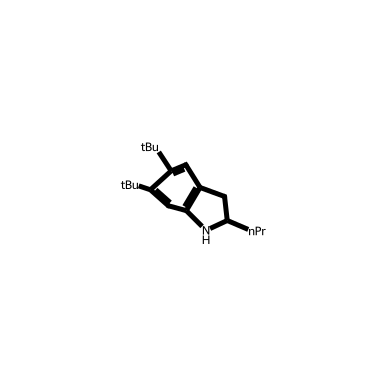 CCCC1Cc2cc(C(C)(C)C)c(C(C)(C)C)cc2N1